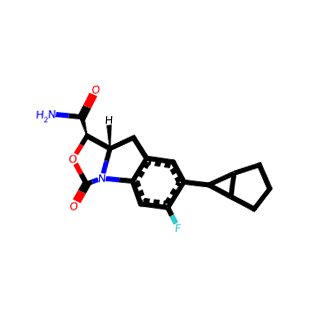 NC(=O)[C@@H]1OC(=O)N2c3cc(F)c(C4C5CCCC54)cc3C[C@@H]12